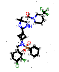 CC1(C)N=C(C23CC(N(Cc4ccc(Cl)c(F)c4)S(=O)(=O)c4ccccc4)(C2)C3)N[C@H]1C(=O)N1CCC[C@H](C(F)(F)F)C1